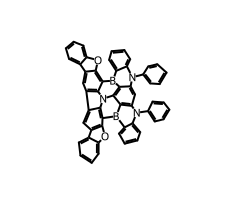 c1ccc(N2c3ccccc3B3c4c2cc2c5c4-n4c6c3c3oc7ccccc7c3cc6c3cc6c(oc7ccccc76)c(c34)B5c3ccccc3N2c2ccccc2)cc1